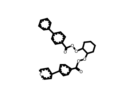 O=C(OO[C]1CCC[CH]C1OOC(=O)c1ccc(-c2ccccc2)cc1)c1ccc(-c2ccccc2)cc1